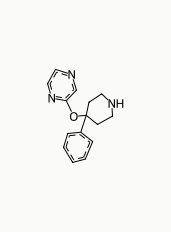 c1ccc(C2(Oc3cnccn3)CCNCC2)cc1